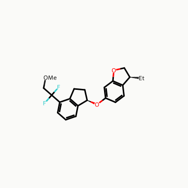 CC[C@@H]1COc2cc(O[C@@H]3CCc4c3cccc4C(F)(F)COC)ccc21